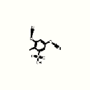 Cc1c(OC#N)cc(OC#N)cc1S(=O)(=O)O